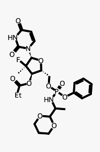 CCC(=O)O[C@@H]1[C@@H](COP(=O)(NC(C)C2OCCCO2)Oc2ccccc2)O[C@@H](n2ccc(=O)[nH]c2=O)[C@]1(C)F